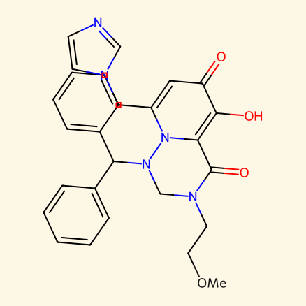 COCCN1CN(C(c2ccccc2)c2ccccc2)n2c(Cn3ccnc3)cc(=O)c(O)c2C1=O